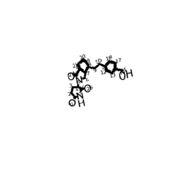 O=C1CCC(N2Cc3c(CCc4ccc(CO)cc4)cccc3C2=O)C(=O)N1